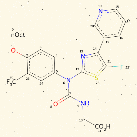 CCCCCCCCOc1ccc(N(C(=O)NCC(=O)O)c2nc(-c3cccnc3)c(F)s2)cc1C(F)(F)F